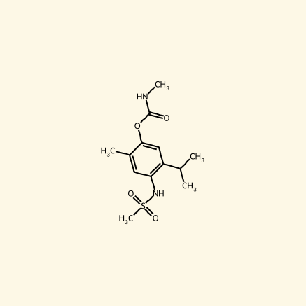 CNC(=O)Oc1cc(C(C)C)c(NS(C)(=O)=O)cc1C